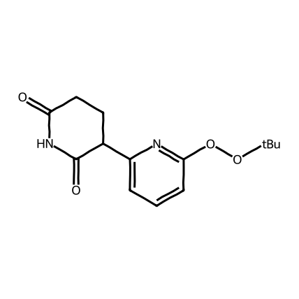 CC(C)(C)OOc1cccc(C2CCC(=O)NC2=O)n1